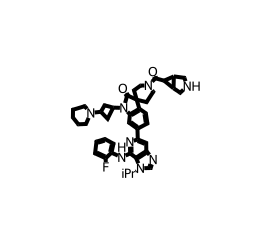 CC(C)n1cnc2cc(-c3ccc4c(c3)N(C3CC(N5CCCCC5)C3)C(=O)C43CCN(C(=O)C4C5CNCC54)CC3)nc(Nc3ccccc3F)c21